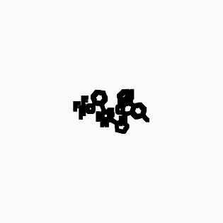 Cc1ccc(-n2nccn2)c(C(=O)N2CCC[C@H]2c2nnc(-c3ccccc3OC(F)(F)F)s2)c1